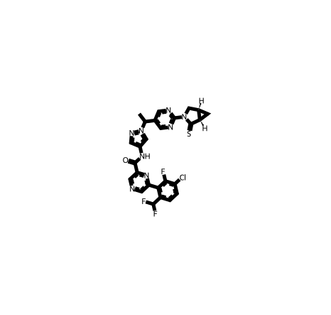 CC(c1cnc(N2C[C@H]3C[C@H]3C2=S)nc1)n1cc(NC(=O)c2cncc(-c3c(C(F)F)ccc(Cl)c3F)n2)cn1